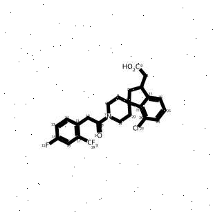 O=C(O)CC1CC2(CCN(C(=O)Cc3ccc(F)cc3C(F)(F)F)CC2)c2c(Cl)cccc21